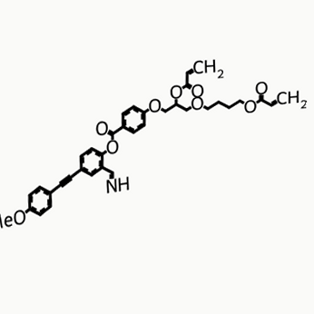 C=CC(=O)OCCCCOCC(COc1ccc(C(=O)Oc2ccc(C#Cc3ccc(OC)cc3)cc2C=N)cc1)OC(=O)C=C